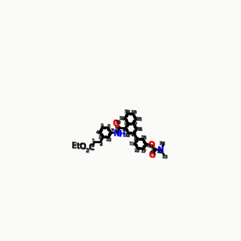 CCOC(=O)CCc1cccc(NC(=O)c2cc(-c3cccc(OC(=O)N(C)C)c3)cc3ccccc23)c1